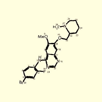 COc1cc2c(Nc3ccc(Br)cc3F)ncnc2cc1OCC1CCCCN1C